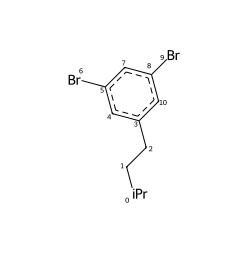 CC(C)CCc1cc(Br)cc(Br)c1